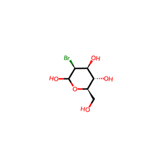 OC[C@H]1OC(O)[C@@H](Br)[C@@H](O)[C@@H]1O